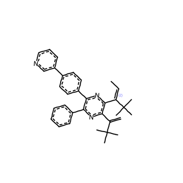 C=C(c1nc(-c2ccccc2)c(-c2ccc(-c3cccnc3)cc2)nc1/C(=C\C)C(C)(C)C)C(C)(C)C